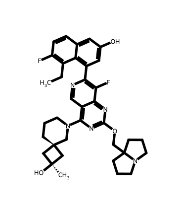 CCc1c(F)ccc2cc(O)cc(-c3ncc4c(N5CCC[C@]6(C5)C[C@](C)(O)C6)nc(OCC56CCCN5CCC6)nc4c3F)c12